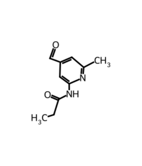 CCC(=O)Nc1cc(C=O)cc(C)n1